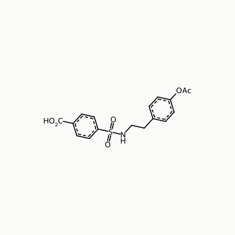 CC(=O)Oc1ccc(CCNS(=O)(=O)c2ccc(C(=O)O)cc2)cc1